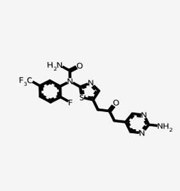 NC(=O)N(c1ncc(CC(=O)Cc2cnc(N)nc2)s1)c1cc(C(F)(F)F)ccc1F